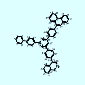 c1ccc(-c2ccc(-c3nc(-c4ccc(-c5cncc6ccccc56)cc4)cc(-c4ccc(-c5cc6ccccc6c6ccccc56)cc4)n3)cc2)cc1